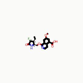 CC[C@@H]1[C@H](F)C(=O)N[C@@H]1COc1nccc2c(C(=O)O)cc(OC)cc12